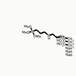 CC(=O)O.CC(=O)O.CC(=O)O.CO[Si](CCCNCCN)(OC)OC.[NaH].[NaH].[NaH]